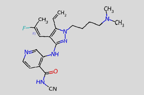 C=Cc1c(/C=C(\C)F)c(Nc2cnccc2C(=O)NC#N)nn1CCCCN(C)C